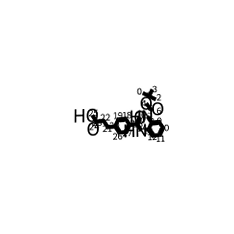 CC(C)(C)OC(=O)Nc1ccccc1NC(=O)c1ccc(CCC(=O)O)cc1